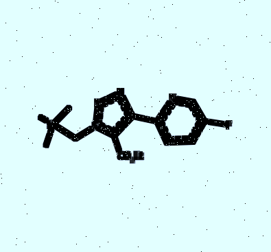 CCOC(=O)c1c(-c2ccc(F)cn2)nnn1C[Si](C)(C)C